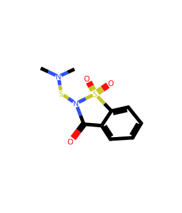 CN(C)SN1C(=O)c2ccccc2S1(=O)=O